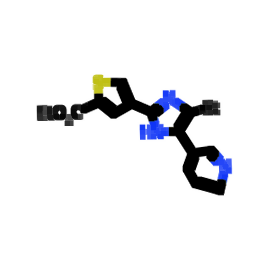 CCOC(=O)c1cc(-c2nc(CC)c(-c3cccnc3)[nH]2)cs1